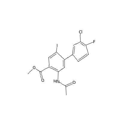 COC(=O)c1cc(I)c(-c2ccc(F)c(Cl)c2)cc1NC(C)=O